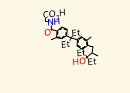 CCC(CC)(c1ccc(CC(C)C(O)(CC)CC)c(C)c1)c1ccc(C(=O)NCC(=O)O)c(C)c1